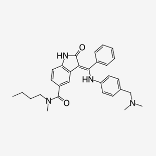 CCCCN(C)C(=O)c1ccc2c(c1)C(=C(Nc1ccc(CN(C)C)cc1)c1ccccc1)C(=O)N2